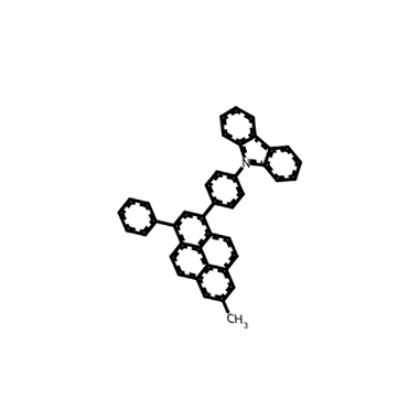 Cc1cc2ccc3c(-c4ccccc4)cc(-c4ccc(-n5c6ccccc6c6ccccc65)cc4)c4ccc(c1)c2c34